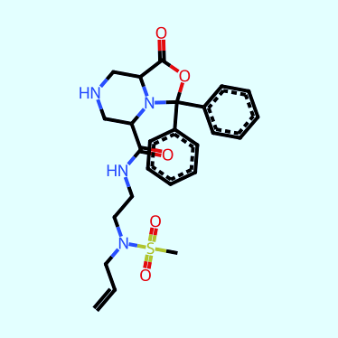 C=CCN(CCNC(=O)C1CNCC2C(=O)OC(c3ccccc3)(c3ccccc3)N12)S(C)(=O)=O